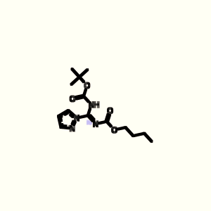 CCCCOC(=O)/N=C(\NC(=O)OC(C)(C)C)n1cccn1